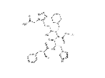 CC(C)(C)OC(=O)N(C(=O)[C@H](Cc1c[nH]cn1)NC(=O)[C@@H](N)Cc1ccccc1)[C@@H](CC1CCCCC1)C(O)CSc1nnnn1CC(N)=O